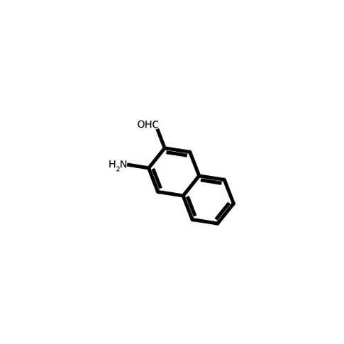 Nc1cc2ccccc2cc1C=O